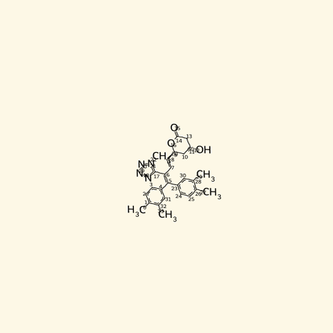 Cc1ccc(C(=C(C=C[C@@H]2C[C@@H](O)CC(=O)O2)c2nnnn2C)c2ccc(C)c(C)c2)cc1C